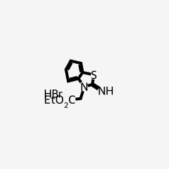 Br.CCOC(=O)Cn1c(=N)sc2ccccc21